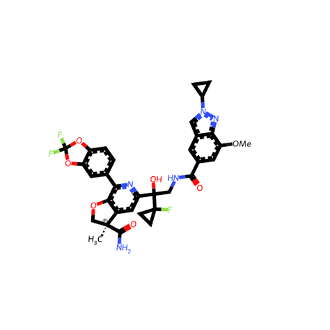 COc1cc(C(=O)NCC(O)(c2cc3c(c(-c4ccc5c(c4)OC(F)(F)O5)n2)OC[C@]3(C)C(N)=O)C2(F)CC2)cc2cn(C3CC3)nc12